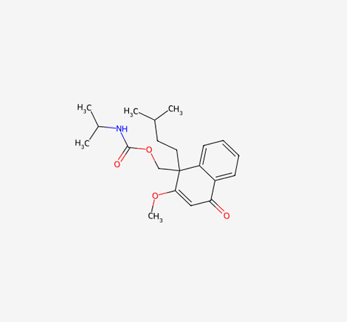 COC1=CC(=O)c2ccccc2C1(CCC(C)C)COC(=O)NC(C)C